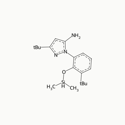 C[SiH](C)Oc1c(-n2nc(C(C)(C)C)cc2N)cccc1C(C)(C)C